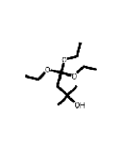 CCOC(CC(C)(C)O)(OCC)OCC